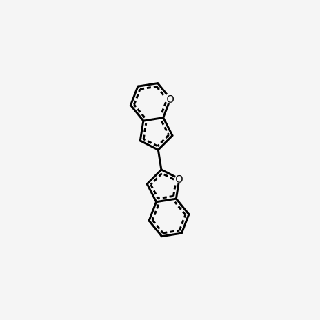 c1coc2cc(-c3cc4ccccc4o3)cc-2c1